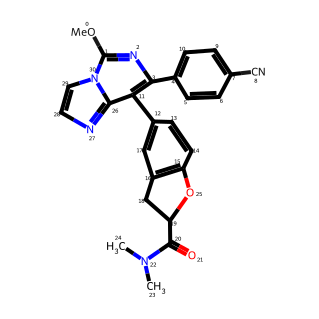 COc1nc(-c2ccc(C#N)cc2)c(-c2ccc3c(c2)CC(C(=O)N(C)C)O3)c2nccn12